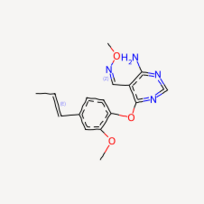 C/C=C/c1ccc(Oc2ncnc(N)c2/C=N\OC)c(OC)c1